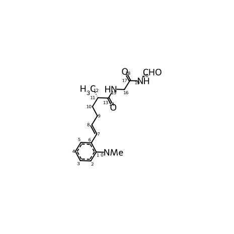 CNc1ccccc1/C=C/CC[C@H](C)C(=O)NCC(=O)NC=O